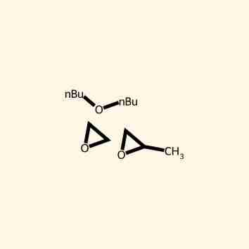 C1CO1.CC1CO1.CCCCOCCCC